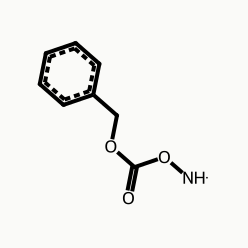 [NH]OC(=O)OCc1ccccc1